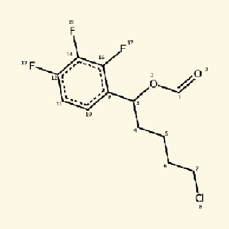 O=COC(CCCCCl)c1ccc(F)c(F)c1F